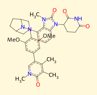 COc1cc(-c2cn(C)c(=O)c(C)c2C)cc(OC)c1CN1C2CCC1CN(c1cccc3c1n(C)c(=O)n3C1CCC(=O)NC1=O)C2